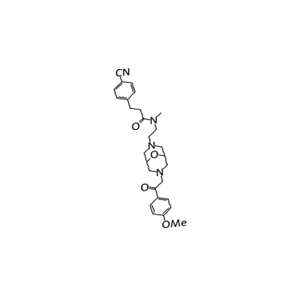 COc1ccc(C(=O)CN2CC3CN(CCN(C)C(=O)CCc4ccc(C#N)cc4)CC(C2)O3)cc1